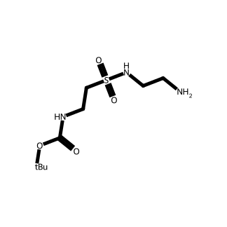 CC(C)(C)OC(=O)NCCS(=O)(=O)NCCN